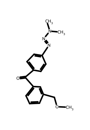 COCc1cccc(C(=O)c2ccc(/N=N/N(C)C)cc2)c1